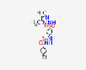 CCc1ccc(C(=O)NC(=S)Nc2ccc(S(=O)(=O)Nc3nc(C)cc(C)n3)cc2)cc1